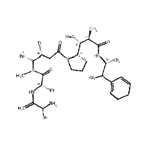 C=C(N[C@H](C(=O)N(C)C([C@H](CC)CC(=O)N1CCC[C@H]1[C@H](OC)[C@@H](C)C(=O)N[C@H](C)C(N=O)C1=CCCC=C1)[C@@H](C)CC)C(C)C)C(N)C(C)C